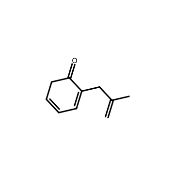 C=C(C)CC1=CC=CCC1=O